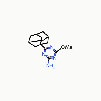 COc1nc(N)nc(C23CC4CC(CC(C4)C2)C3)n1